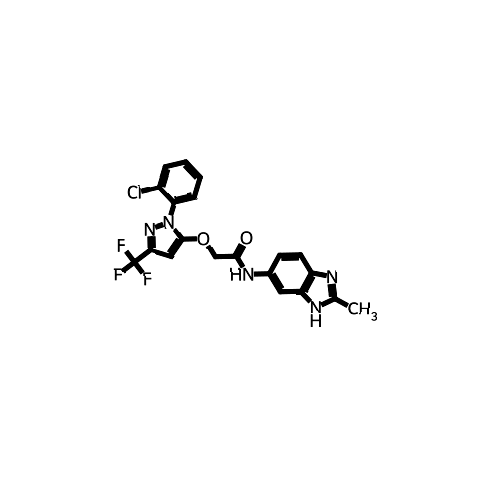 Cc1nc2ccc(NC(=O)COc3cc(C(F)(F)F)nn3-c3ccccc3Cl)cc2[nH]1